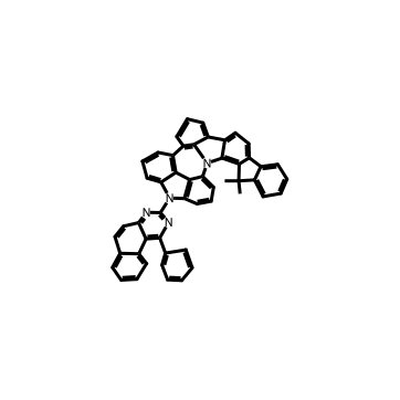 CC1(C)c2ccccc2-c2ccc3c4cccc5c6cccc7c6c6c(cccc6n(c3c21)c54)n7-c1nc(-c2ccccc2)c2c(ccc3ccccc32)n1